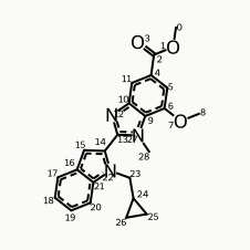 COC(=O)c1cc(OC)c2c(c1)nc(-c1cc3ccccc3n1CC1CC1)n2C